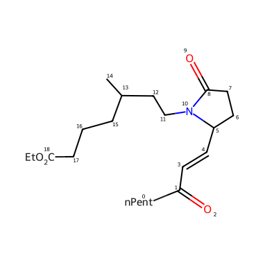 CCCCCC(=O)/C=C/C1CCC(=O)N1CCC(C)CCCC(=O)OCC